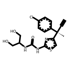 C#C[C@](C)(c1ccc(Cl)cc1)c1csc(NC(=O)NC(CO)CO)n1